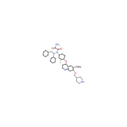 COc1cc2c(Oc3ccc(N(C(=O)C(N)=O)C(Cc4ccccc4)c4ccccc4)cc3F)ccnc2cc1OCC1CCNCC1